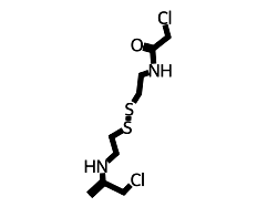 C=C(CCl)NCCSSCCNC(=O)CCl